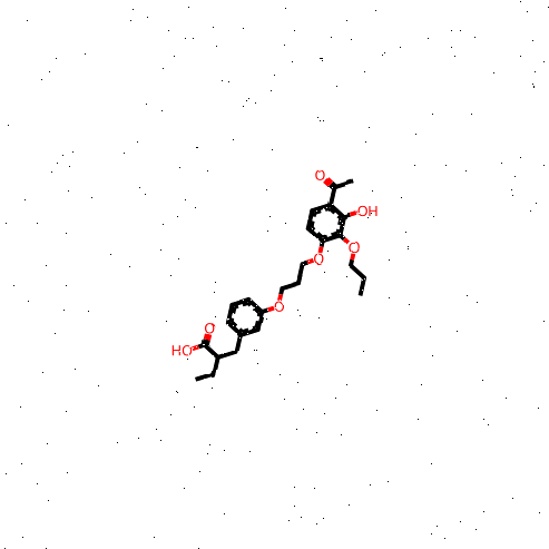 CCCOc1c(OCCCOc2cccc(CC(CC)C(=O)O)c2)ccc(C(C)=O)c1O